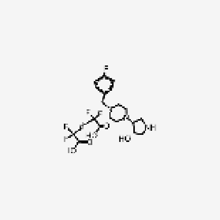 O=C(O)C(F)(F)F.O=C(O)C(F)(F)F.O[C@H]1CNC[C@@H]1N1CCN(Cc2ccc(F)cc2)CC1